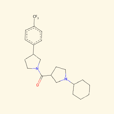 O=C(C1CCN(C2CCCCC2)C1)N1CCC(c2ccc(C(F)(F)F)cc2)C1